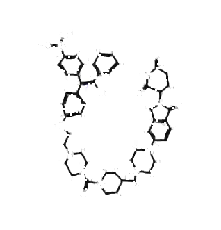 CC/C(=C(\c1ccc(OCCN2CCN(C(=O)N3CCC(CN4CCN(c5ccc6c(c5)CN(C5CCC(=O)NC5=O)C6=O)CC4)CC3)CC2)cc1)c1ccc(B(O)O)cc1)c1ccccc1